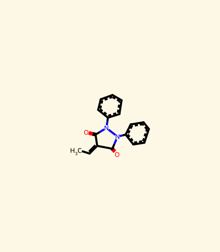 CC=C1C(=O)N(c2ccccc2)N(c2ccccc2)C1=O